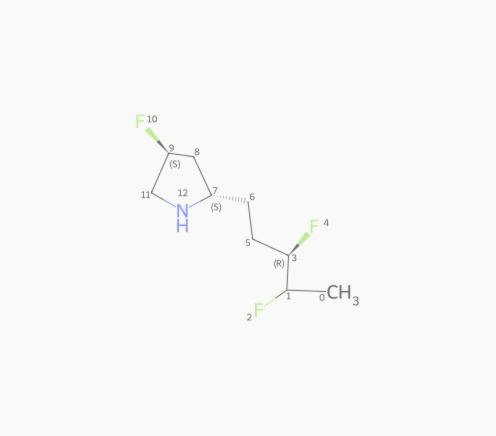 CC(F)[C@H](F)CC[C@H]1C[C@H](F)CN1